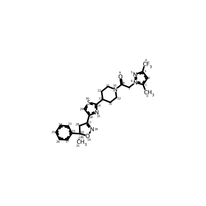 Cc1cc(C(F)(F)F)nn1CC(=O)N1CCC(c2nc(C3=NO[C@@](C)(c4ccccc4)C3)cs2)CC1